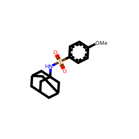 COc1ccc(S(=O)(=O)NC23CC4CC(CC(C4)C2)C3)cc1